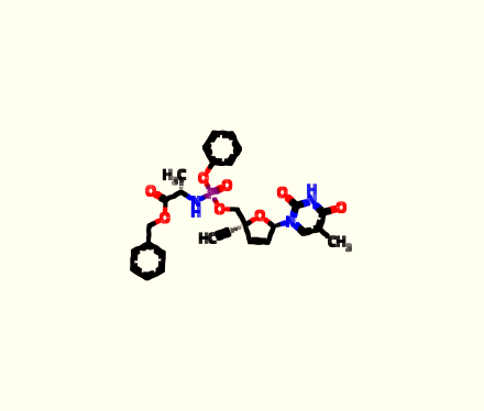 C#C[C@@]1(COP(=O)(N[C@@H](C)C(=O)OCc2ccccc2)Oc2ccccc2)C=C[C@H](n2cc(C)c(=O)[nH]c2=O)O1